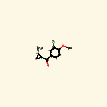 CCC(C)Oc1ccc(C(=O)[C@H]2C[C@@H]2C(=O)O)cc1Cl